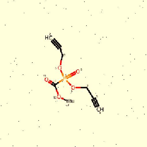 C#CCOP(=O)(OCC#C)C(=O)OC(C)(C)C